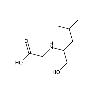 CC(C)CC(CO)NCC(=O)O